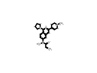 C=CC(=O)N(C)c1ccc2c(N3CCCC3)nc(C3=CCN(C)CC3)cc2c1